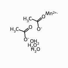 CC(=O)[O-].CC(=O)[O-].O.O.O.[Mn+2]